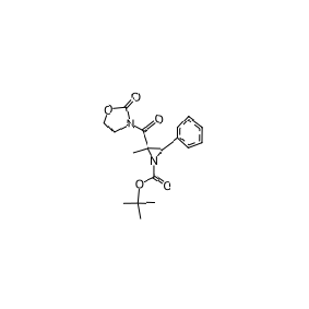 CC(C)(C)OC(=O)N1C(c2ccccc2)C1(C)C(=O)N1CCOC1=O